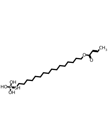 CC=CC(=O)OCCCCCCCCCCCCCCCC[SH]=P(O)(O)O